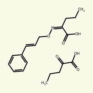 CCCC(=NOCC=Cc1ccccc1)C(=O)O.CCCC(=O)C(=O)O